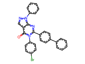 O=c1c2cnn(-c3ccccc3)c2nc(-c2ccc(-c3ccccc3)cc2)n1-c1ccc(Br)cc1